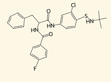 CC(C)(C)NSc1ccc(NC(=O)C(Cc2ccccc2)NC(=O)c2ccc(F)cc2)cc1Cl